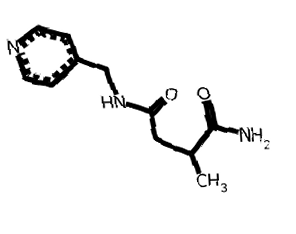 CC(CC(=O)NCc1ccncc1)C(N)=O